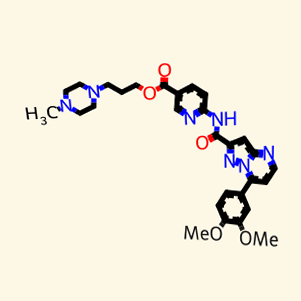 COc1ccc(-c2ccnc3cc(C(=O)Nc4ccc(C(=O)OCCCN5CCN(C)CC5)cn4)nn23)cc1OC